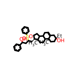 CC[C@]1(O)CCC2(C)C(=CCC3C2CCC2(C)C3CC[C@@H]2CC(CC(O)c2ccccc2)S(=O)(=O)c2ccccc2)C1